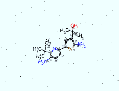 CC(C)(C)c1nc(-c2cc(C(C)(C)O)c(N)s2)ccc1N